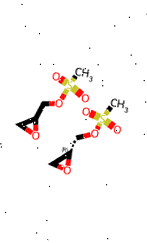 CS(=O)(=O)OCC1CO1.CS(=O)(=O)OC[C@H]1CO1